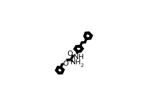 N[C@@H](COCc1ccccc1)C(=O)Nc1ccc(CCc2ccccc2)cc1